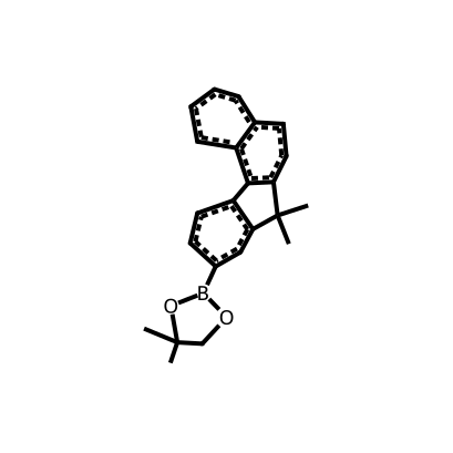 CC1(C)COB(c2ccc3c(c2)C(C)(C)c2ccc4ccccc4c2-3)O1